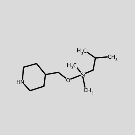 CC(C)C[Si](C)(C)OCC1CCNCC1